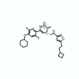 Cc1nc(C(N)=C[C@@H](CNc2noc(CCC3CCC3)n2)N(C)N)c(F)cc1OC1CCCCC1